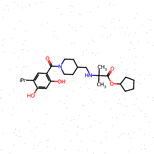 CC(C)c1cc(C(=O)N2CCC(CNC(C)(C)C(=O)OC3CCCC3)CC2)c(O)cc1O